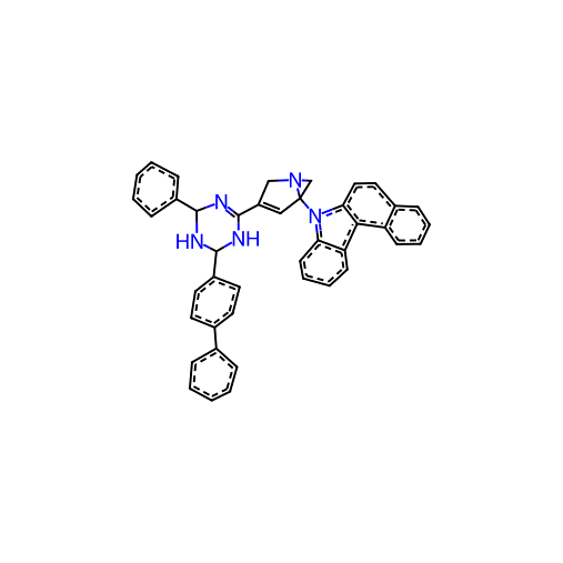 C1=C(C2=NC(c3ccccc3)NC(c3ccc(-c4ccccc4)cc3)N2)CN2CC12n1c2ccccc2c2c3ccccc3ccc21